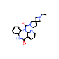 CCN1CC2(CCN(C(=O)N3c4ccccc4NC(=O)c4cccnc43)C2)C1